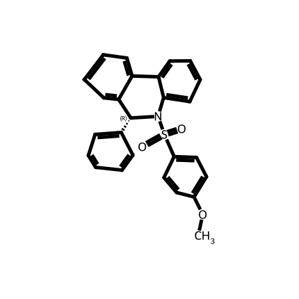 COc1ccc(S(=O)(=O)N2c3ccccc3-c3ccccc3[C@H]2c2ccccc2)cc1